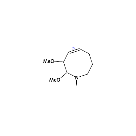 COC1/C=C\CCCN(C)C1OC